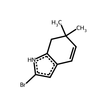 CC1(C)C=Cc2cc(Br)[nH]c2C1